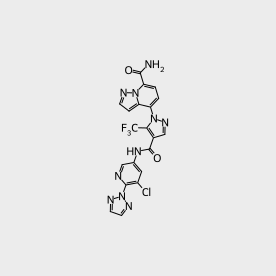 NC(=O)c1ccc(-n2ncc(C(=O)Nc3cnc(-n4nccn4)c(Cl)c3)c2C(F)(F)F)c2ccnn12